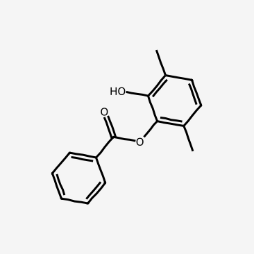 Cc1ccc(C)c(OC(=O)c2ccccc2)c1O